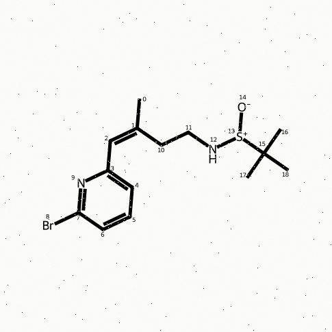 CC(=Cc1cccc(Br)n1)CCN[S+]([O-])C(C)(C)C